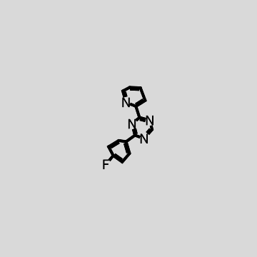 Fc1ccc(-c2ncnc(-c3ccccn3)n2)cc1